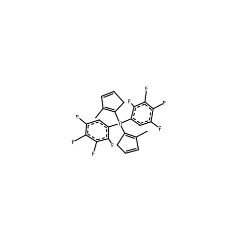 CC1=[C]([Ti]([C]2=C(C)C=CC2)([c]2cc(F)c(F)c(F)c2F)[c]2cc(F)c(F)c(F)c2F)CC=C1